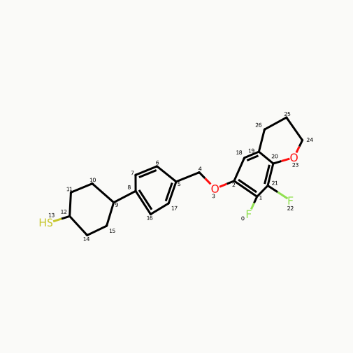 Fc1c(OCc2ccc(C3CCC(S)CC3)cc2)cc2c(c1F)OCCC2